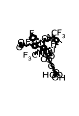 C[C@@H]1Cc2c(C(F)(F)F)nn(CC(=O)N[C@@H](Cc3cc(F)cc(F)c3)c3nc(CCC(C)(C)S(C)(=O)=O)ccc3-c3ccc(Cl)c4c(N(C(=O)OCCOCCOP(=O)(O)O)S(C)(=O)=O)nn(CC(F)(F)F)c34)c2C1(F)F